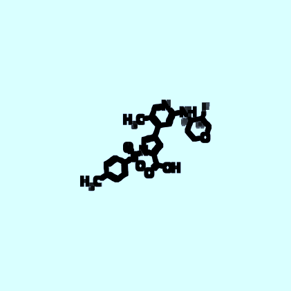 Cc1ccc(S(=O)(=O)n2cc(-c3cc(N[C@H]4CCOC[C@@H]4F)ncc3C)cc2C(=O)O)cc1